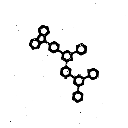 c1ccc(-c2cc(-c3ccccn3)nc(-c3cc(-c4nc(-c5ccccc5)cc(-c5ccc(-n6c7ccccc7c7ccccc76)cc5)n4)ccn3)c2)cc1